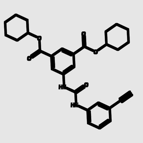 C#Cc1cccc(NC(=O)Nc2cc(C(=O)OC3CCCCC3)cc(C(=O)OC3CCCCC3)c2)c1